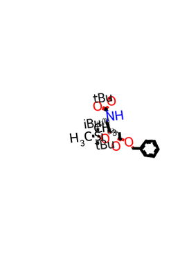 CC[C@H](C)[C@@H](NC(=O)OC(C)(C)C)[C@H](CC(=O)OCc1ccccc1)O[Si](C)(C)C(C)(C)C